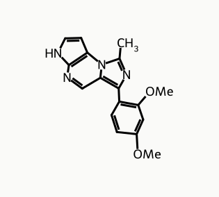 COc1ccc(-c2nc(C)n3c2cnc2[nH]ccc23)c(OC)c1